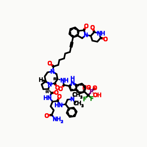 CN(C)CC(NC(=O)C(CCC(N)=O)NC(=O)[C@@H]1CC[C@@H]2CCN(C(=O)CCCCCC#Cc3cccc4c3CN(C3CCC(=O)NC3=O)C4=O)C[C@H](NC(=O)c3cc4cc(C(F)(F)P(=O)(O)O)ccc4[nH]3)C(=O)N21)c1ccccc1